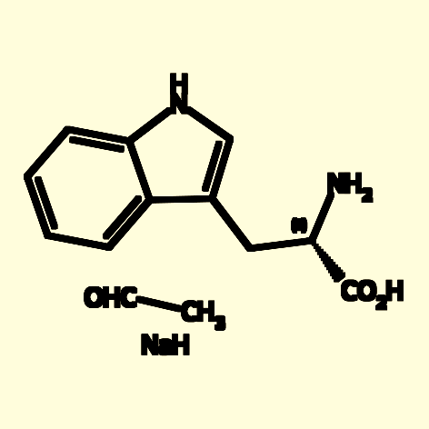 CC=O.N[C@@H](Cc1c[nH]c2ccccc12)C(=O)O.[NaH]